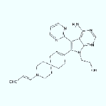 Nc1ncnc2c1c(-c1ncccn1)c(C1=CCC3(CC1)CCN(C=CC=O)CC3)n2CCO